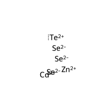 [Cd+2].[Se-2].[Se-2].[Se-2].[Te+2].[Zn+2]